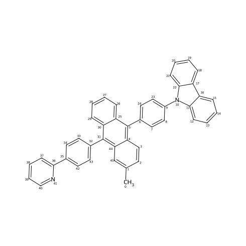 Cc1ccc2c(-c3ccc(-n4c5ccccc5c5ccccc54)cc3)c3ccccc3c(-c3ccc(-c4ccccn4)cc3)c2c1